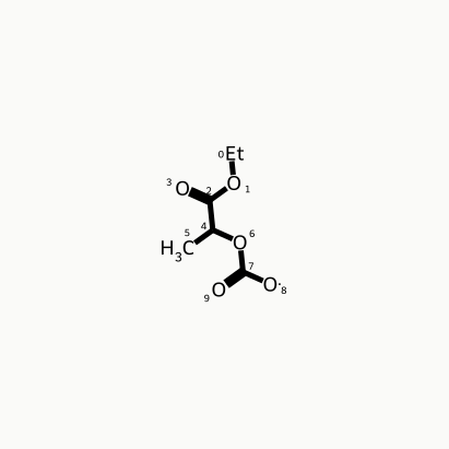 CCOC(=O)C(C)OC([O])=O